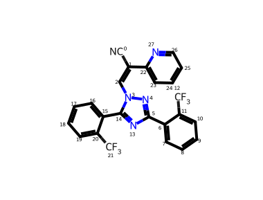 N#CC(=Cn1nc(-c2ccccc2C(F)(F)F)nc1-c1ccccc1C(F)(F)F)c1ccccn1